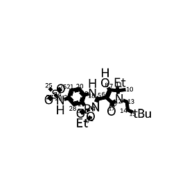 CCOP1(=O)N=C(C2=C(O)C(C)(CC)N(CCC(C)(C)C)C2=O)Nc2ccc(NS(C)(=O)=O)cc21